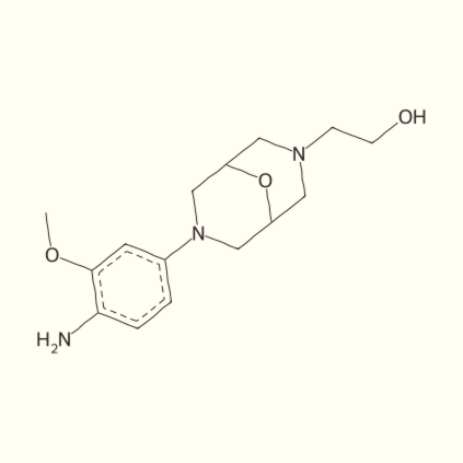 COc1cc(N2CC3CN(CCO)CC(C2)O3)ccc1N